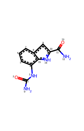 NC(=O)Nc1cccc2cc(C(N)=O)[nH]c12